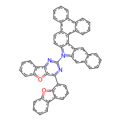 c1ccc2cc3c(cc2c1)c1c2c4ccccc4c4ccccc4c2ccc1n3-c1nc(-c2cccc3c2oc2ccccc23)c2oc3ccccc3c2n1